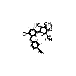 C#Cc1ccc(Cc2cc([C@@H]3O[C@H](CO)[C@@H](OC)[C@H](O)[C@H]3O)ccc2Cl)cc1